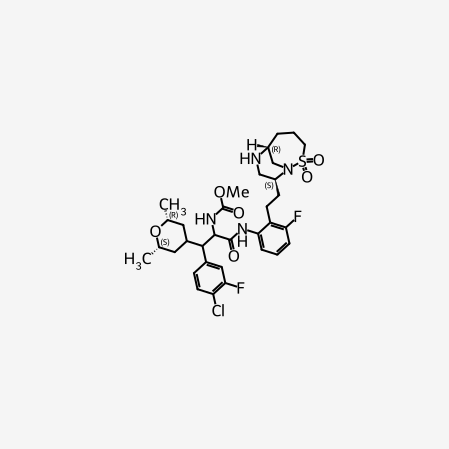 COC(=O)NC(C(=O)Nc1cccc(F)c1CC[C@H]1CN[C@@H]2CCCS(=O)(=O)N1C2)C(c1ccc(Cl)c(F)c1)C1C[C@@H](C)O[C@@H](C)C1